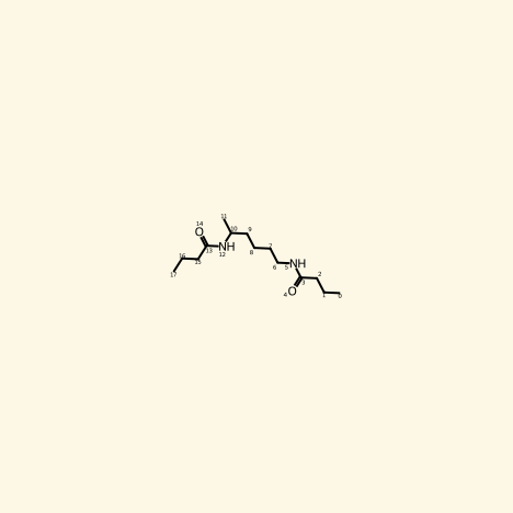 CCCC(=O)NCCCCC(C)NC(=O)CCC